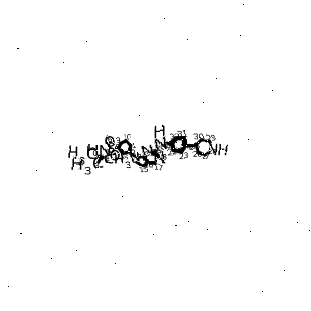 CC(C)(C)NS(=O)(=O)c1cccc(N2CCc3cnc(Nc4ccc(C5CCNCC5)cc4)nc32)c1